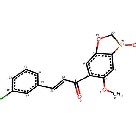 COc1cc2c(cc1C(=O)/C=C/c1cccc(Cl)c1)OC[S+]2[O-]